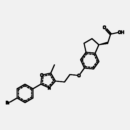 Cc1oc(-c2ccc(Br)cc2)nc1CCOc1ccc2c(c1)CC[C@H]2CC(=O)O